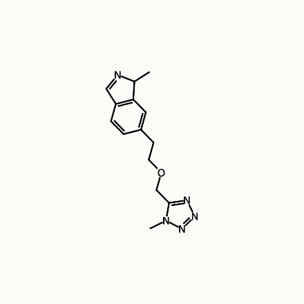 CC1N=Cc2ccc(CCOCc3nnnn3C)cc21